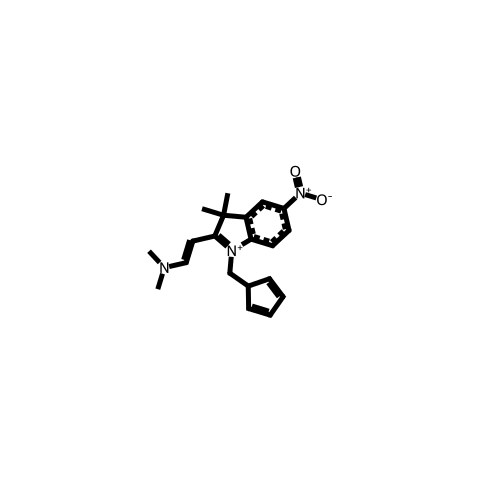 CN(C)/C=C/C1=[N+](CC2C=CC=C2)c2ccc([N+](=O)[O-])cc2C1(C)C